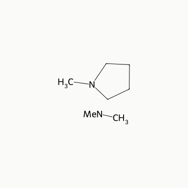 CN1CCCC1.CNC